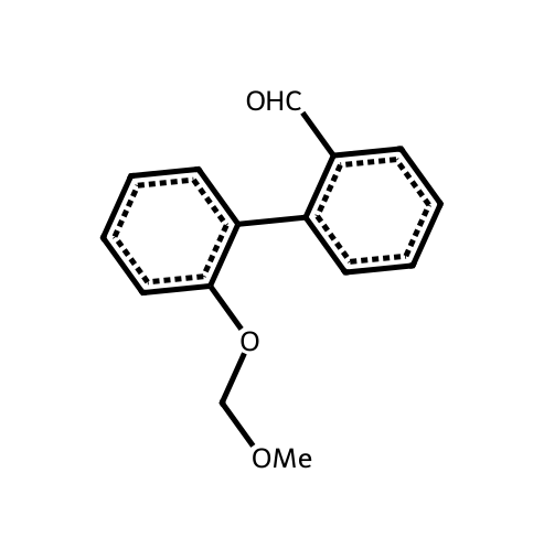 COCOc1ccccc1-c1ccccc1C=O